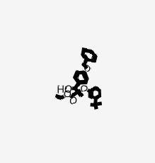 CCOC(=O)C(C)(Oc1cccc(C(C)(C)C)c1)C(O)c1ccc(OCc2ccccc2)cc1